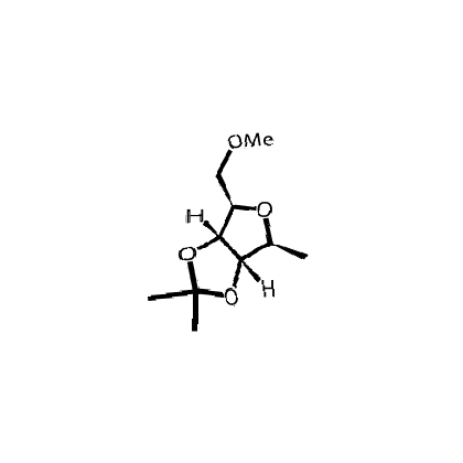 COC[C@H]1O[C@@H](C)[C@@H]2OC(C)(C)O[C@@H]21